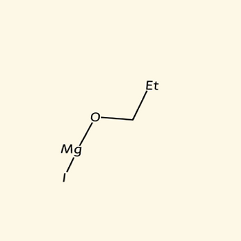 CCC[O][Mg][I]